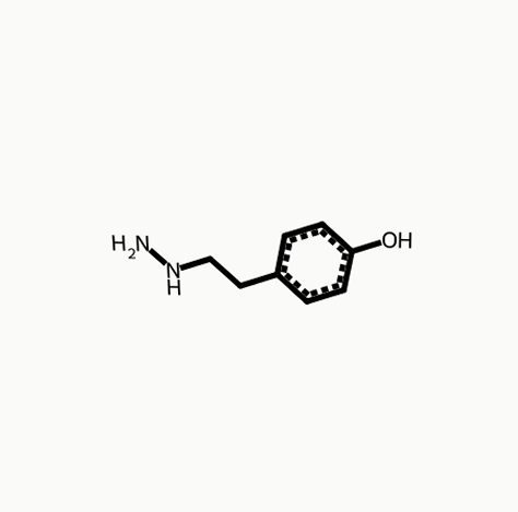 NNCCc1ccc(O)cc1